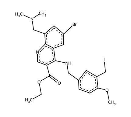 CCOC(=O)c1cnc2c(CN(C)C)cc(Br)cc2c1NCc1ccc(OC)c(CI)c1